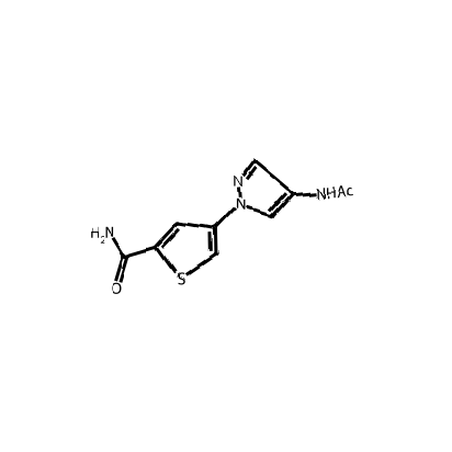 CC(=O)Nc1cnn(-c2csc(C(N)=O)c2)c1